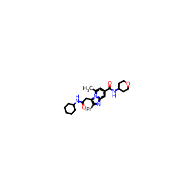 Cc1cc(C(=O)NC2CCOCC2)cc2nc(C(C)C)c(CC(=O)NC3CCCCC3)n12